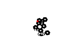 c1ccc(N2CCOc3cc4c(cc32)-c2cccc(-n3c5ccccc5c5ccccc53)c2-c2ccccc2-c2cccnc2-4)cc1